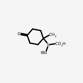 CC(C)(C)N(C(=O)O)C1(C)CCC(=O)CC1